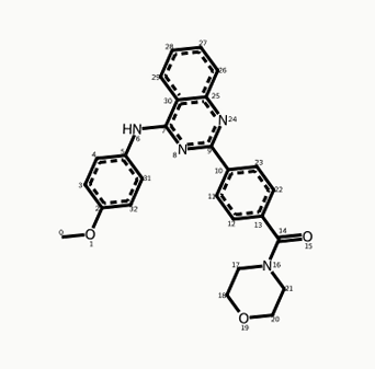 COc1ccc(Nc2nc(-c3ccc(C(=O)N4CCOCC4)cc3)nc3ccccc23)cc1